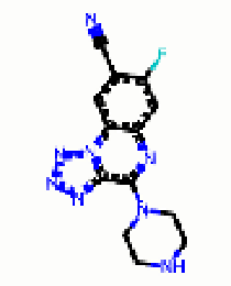 N#Cc1cc2c(cc1F)nc(N1CCNCC1)c1nnnn12